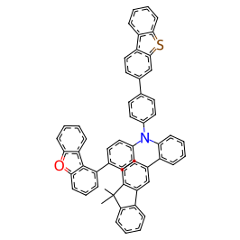 CC1(C)c2ccccc2-c2cc(-c3ccccc3N(c3ccc(-c4ccc5c(c4)sc4ccccc45)cc3)c3ccc(-c4cccc5oc6ccccc6c45)cc3)ccc21